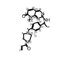 C=CC(=O)N1CCN(Cc2ccc(C(C)Nc3ncc4ccc(=O)n(CC)c4n3)cc2)[C@H](C)C1